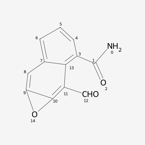 NC(=O)c1cccc2cc3c(c(C=O)c12)O3